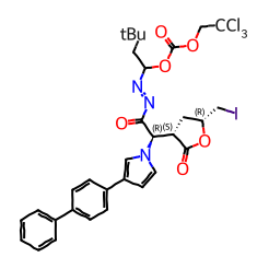 CC(C)(C)CC(N=NC(=O)[C@@H]([C@@H]1C[C@H](CI)OC1=O)n1ccc(-c2ccc(-c3ccccc3)cc2)c1)OC(=O)OCC(Cl)(Cl)Cl